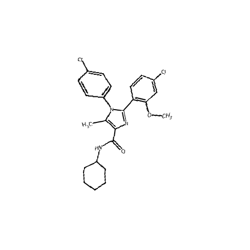 COc1cc(Cl)ccc1-c1nc(C(=O)NC2CCCCC2)c(C)n1-c1ccc(Cl)cc1